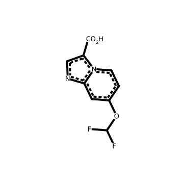 O=C(O)c1cnc2cc(OC(F)F)ccn12